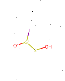 [O-][S+](I)SO